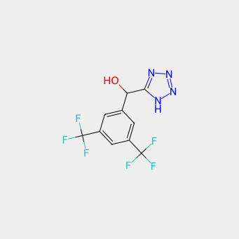 OC(c1cc(C(F)(F)F)cc(C(F)(F)F)c1)c1nnn[nH]1